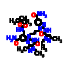 CCn1nc(C)cc1C(=O)Nc1nc2cc(C(N)=O)ccc2n1C/C=C/Cn1c(NC(=O)c2cc(C)nn2CC)nc2cc(C(N)=O)cc(CNC(=O)OC(C)(C)C)c21